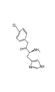 N[C@@H](Cc1c[nH]cn1)C(=O)[C]c1ccc(Cl)cc1